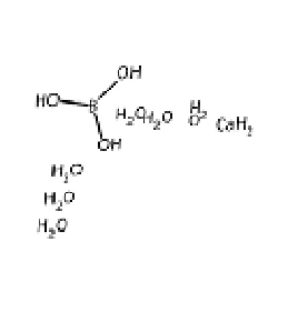 O.O.O.O.O.O.OB(O)O.[CaH2]